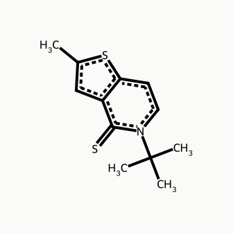 Cc1cc2c(=S)n(C(C)(C)C)ccc2s1